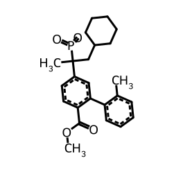 COC(=O)c1ccc(C(C)(CC2CCCCC2)P(=O)=O)cc1-c1ccccc1C